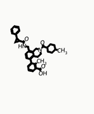 Cc1c(C(=O)O)cccc1-c1ccc(CNC(=O)C2CC2c2ccccc2)c2c1CCN(C(=O)C1CCC(C)CC1)C2